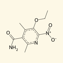 CCOc1c([N+](=O)[O-])nc(C)c(C(N)=O)c1C